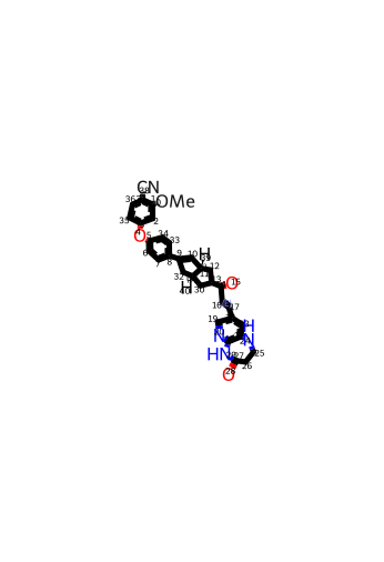 COc1cc(Oc2ccc(C3=C[C@H]4CC(C(=O)/C=C/c5cnc6c(c5)NCCC(=O)N6)C[C@H]4C3)cc2)ccc1C#N